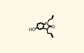 C=CCC1C(=O)N(CC=C)c2ccc(O)cc21